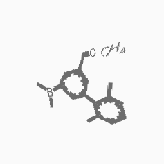 C.CB(C)c1cc(C=O)cc(-c2c(C)cccc2C)c1